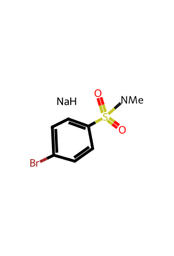 CNS(=O)(=O)c1ccc(Br)cc1.[NaH]